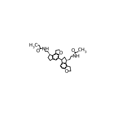 CCC(=O)NCC[C@@H]1CCc2cc(C3C[C@@H](CCNC(=O)CC)c4c3ccc3c4CCO3)c3c(c21)CCO3